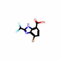 O=C(O)c1ccc(Br)c2nc(C(F)F)[nH]c12